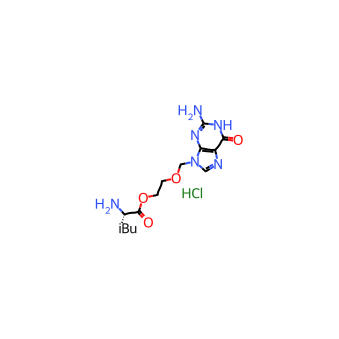 CCC(C)[C@H](N)C(=O)OCCOCn1cnc2c(=O)[nH]c(N)nc21.Cl